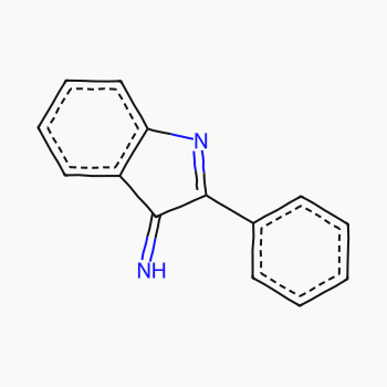 N=C1C(c2ccccc2)=Nc2ccccc21